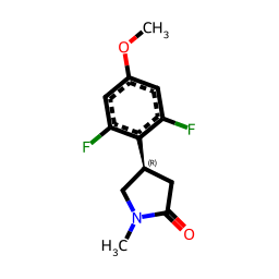 COc1cc(F)c([C@H]2CC(=O)N(C)C2)c(F)c1